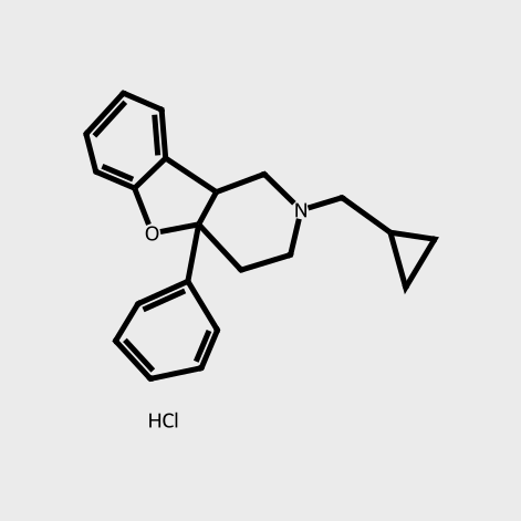 Cl.c1ccc(C23CCN(CC4CC4)CC2c2ccccc2O3)cc1